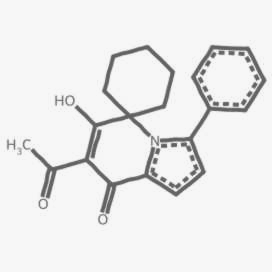 CC(=O)C1=C(O)C2(CCCCC2)n2c(ccc2-c2ccccc2)C1=O